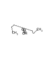 CCCCC/C=C\C/C=C\CCCCCCCCC(CCCCCCCC/C=C\C/C=C\CCCCC)OC(=O)CC(=O)O